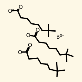 CC(C)(C)CCCCCC(=O)[O-].CC(C)(C)CCCCCC(=O)[O-].CC(C)(C)CCCCCC(=O)[O-].[B+3]